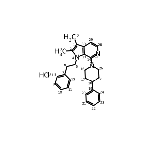 Cc1c(C)n(CCc2ccccc2)c2c(N3CCC(c4ccccc4)CC3)nccc12.Cl